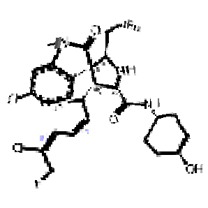 CC(/C=C\C=C(\Cl)CF)[C@H]1[C@H](C(=O)N[C@H]2CC[C@H](O)CC2)N[C@H](CC(C)(C)C)[C@]12C(=O)Nc1cc(Cl)ccc12